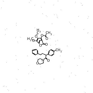 COc1c2cc(c(OC(C)=O)c1OC)C(=O)O2.Cc1ccc(C(CCc2ccccc2)C(=O)N2CCOCC2)cc1